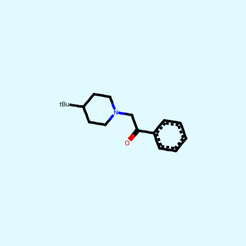 CC(C)(C)C1CCN(CC(=O)c2c[c]ccc2)CC1